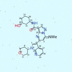 CNc1cc(-c2cn(C3CCOCC3)c3ncccc23)nc2c(C(=O)N[C@@H]3CCC[C@@H](O)C3)cnn12